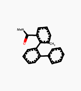 CNC(=O)c1cccc(C)c1-c1ccccc1-c1ccccc1